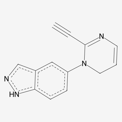 C#CC1=NC=CCN1c1ccc2[nH]ncc2c1